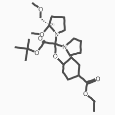 CCOC(=O)C1CCC(OC(C(=O)OC(C)(C)C)(N2CCCC2)N2CCC[C@]2(COC)OC)CC1